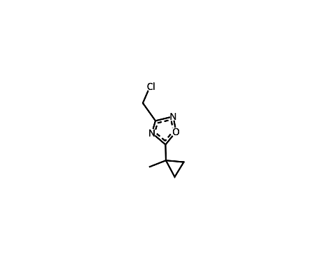 CC1(c2nc(CCl)no2)CC1